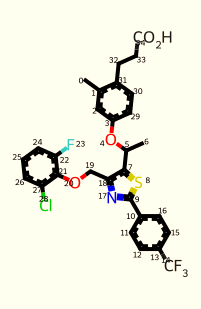 Cc1cc(OC(C)c2sc(-c3ccc(C(F)(F)F)cc3)nc2COc2c(F)cccc2Cl)ccc1CCC(=O)O